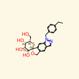 CCc1ccc(Cn2ncc3cc4c(cc32)[C@]2(OC4)S[C@H](CO)[C@@H](O)[C@H](O)[C@H]2O)cc1